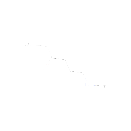 COCC(=O)CCCNC(C)C